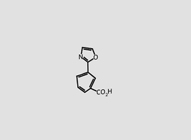 O=C(O)c1cccc(-c2ncco2)c1